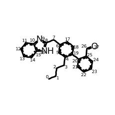 CCCCc1cc(Cc2nc3ccccc3[nH]2)ccc1-c1ccccc1C=O